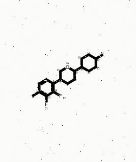 Cc1ccc(C2CCC(C3CCC(C)CC3)OC2)c(F)c1F